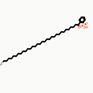 CCCCCCCCCCCCCCCCCCCCCCCCCCCCCCCCC(=O)c1ccccc1S(=O)(=O)O